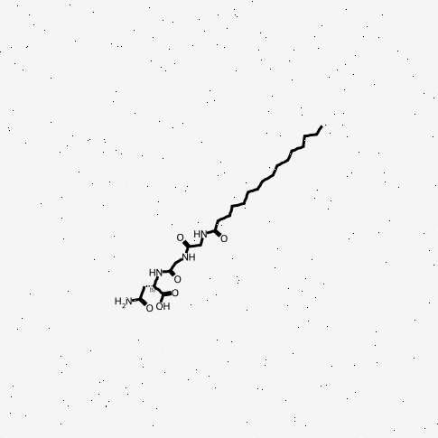 CCCCCCCCCCCCCCCC(=O)NCC(=O)NCC(=O)N[C@@H](CC(N)=O)C(=O)O